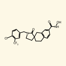 O=C(NO)c1ccc2c(c1)CC1(CC2)CCN(Cc2ccc(Cl)c(C(F)(F)F)c2)C1=O